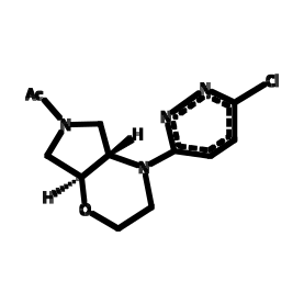 CC(=O)N1C[C@@H]2OCCN(c3ccc(Cl)nn3)[C@H]2C1